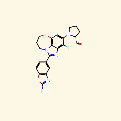 Nc1nc2cc(-c3nc4c(F)c(N5CCC[C@H]5C=O)cc5c4n3CCCO5)ccc2o1